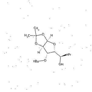 CCCCO[C@@H]1[C@H]2OC(C)(C)O[C@H]2O[C@@H]1[C@H](O)CCC